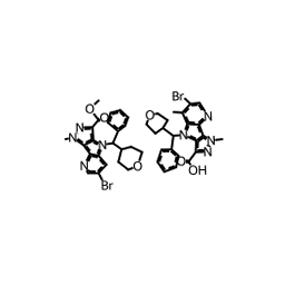 COC(=O)c1nn(C)c2c3ncc(Br)cc3n(C(c3ccccc3)C3CCOCC3)c12.Cc1c(Br)cnc2c3c(c(C(=O)O)nn3C)n(C(c3ccccc3)C3CCOCC3)c12